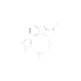 O=C(O)c1cc2cccc3c2n1CCCCNCc1[nH]ncc1-3